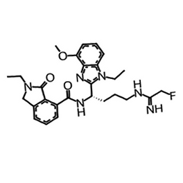 CCN1Cc2cccc(C(=O)N[C@@H](CCCNC(=N)CF)c3nc4c(OC)cccc4n3CC)c2C1=O